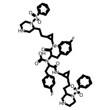 O=C(NC1CC1CCC1CNCCN1S(=O)(=O)c1ccccc1)C(Cc1ccc(F)cc1)N(C(=O)O)C(Cc1ccc(F)cc1)C(=O)NC1CC1CCC1CNCCN1S(=O)(=O)c1ccccc1